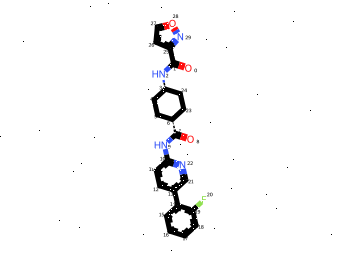 O=C(N[C@H]1CC[C@@H](C(=O)Nc2ccc(-c3ccccc3F)cn2)CC1)c1ccon1